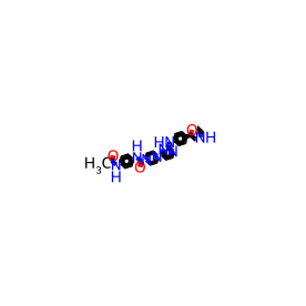 CC(=O)Nc1ccc(NC(=O)N2CCN(c3ccnc(Nc4ccc(C5CNCCO5)cc4)n3)CC2)cc1